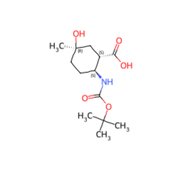 CC(C)(C)OC(=O)N[C@H]1CC[C@@](C)(O)C[C@@H]1C(=O)O